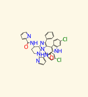 C[C@@H](c1ccc(Cl)cc1)n1cnc(-c2ccccc2)c1-c1c(C(=O)Nc2cccnc2N2CCC(NC(=O)c3ccccn3)CC2)[nH]c2cc(Cl)ccc12